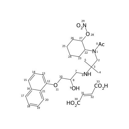 CC(=O)N(CC(C)(C)NCC(O)COc1cccc2ccccc12)C1CCCCC1O[N+](=O)[O-].O=C(O)C=CC(=O)O